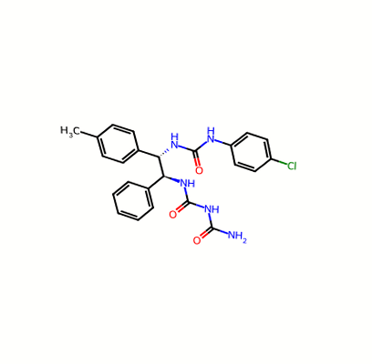 Cc1ccc([C@H](NC(=O)Nc2ccc(Cl)cc2)[C@@H](NC(=O)NC(N)=O)c2ccccc2)cc1